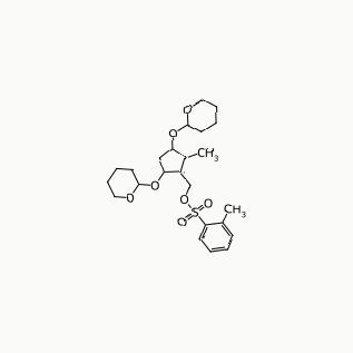 Cc1ccccc1S(=O)(=O)OC[C]1C(OC2CCCCO2)CC(OC2CCCCO2)C1C